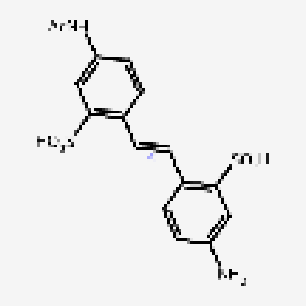 CC(=O)Nc1ccc(/C=C/c2ccc(N)cc2S(=O)(=O)O)c(S(=O)(=O)O)c1